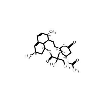 CCC(C)(C)C(=O)O[C@H]1C[C@@H](C)C=C2C=C[C@H](C)C(CC[C@@H]3C[C@@H](OC(C)=O)CC(=O)O3)C21